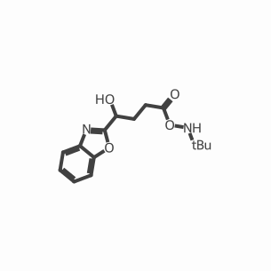 CC(C)(C)NOC(=O)CCC(O)c1nc2ccccc2o1